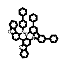 c1ccc(-c2ccc(N3B4c5c(cc6c(sc7ccccc76)c5-c5ccc6oc7ccccc7c6c53)-n3c5ccc(-c6ccccc6)cc5c5cc(-c6ccccc6)cc4c53)cc2)cc1